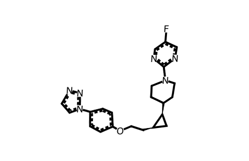 Fc1cnc(N2CCC([C@H]3C[C@H]3CCOc3ccc(-n4ccnn4)cc3)CC2)nc1